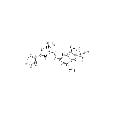 Cc1cc(C=Cc2nc(-c3ccccn3)cn2C)nn2c(C)c(C(F)(F)F)nc12